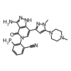 CN1CCN(c2cc(-c3cn(-c4c(P)cccc4C#N)c(=O)c4c(N)n[nH]c34)nn2C)CC1